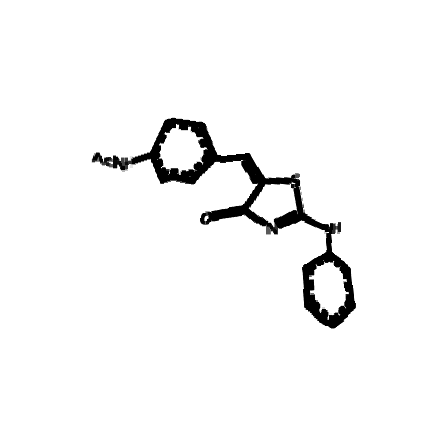 CC(=O)Nc1ccc(C=C2SC(Nc3ccccc3)=NC2=O)cc1